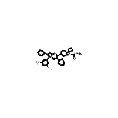 CC(C)(C)OC(=O)NC1(c2ccc(-c3nc4nc(-c5ccccc5)c(-c5cc(C(F)(F)F)cc(C(F)(F)F)c5)n4cc3-c3ccccc3)cc2)CCC1